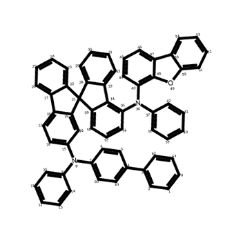 c1ccc(-c2ccc(N(c3ccccc3)c3ccc4c(c3)C3(c5ccccc5-4)c4ccccc4-c4c(N(c5ccccc5)c5cccc6c5oc5ccccc56)cccc43)cc2)cc1